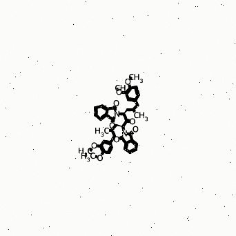 COc1ccc(CC(C)C[C@@H](C(=O)[C@H](CC(C)Cc2ccc(OC)c(OC)c2)N2C(=O)c3ccccc3C2=O)N2C(=O)c3ccccc3C2=O)cc1OC